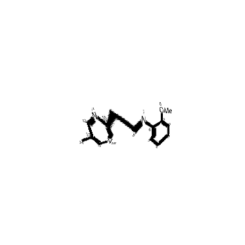 COc1ccccc1N=CCc1ncc(C)cn1